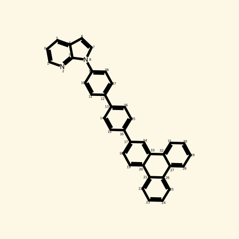 c1cnc2c(c1)ccn2-c1ccc(-c2ccc(-c3ccc4c5ccccc5c5ccccc5c4c3)cc2)cc1